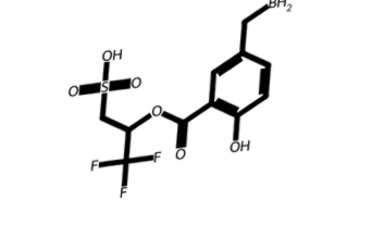 BCc1ccc(O)c(C(=O)OC(CS(=O)(=O)O)C(F)(F)F)c1